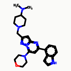 CN(C)C1CCN(Cc2cc3nc(-c4cccc5[nH]ccc45)cc(N4CCOCC4)n3n2)CC1